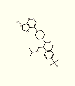 CC(C)NCC(C(=O)N1CCN(c2ncnc3c2[C@H](C)C[C@@H]3O)CC1)c1ccc(C(F)(F)F)cc1F